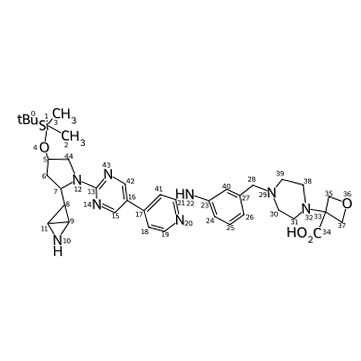 CC(C)(C)[Si](C)(C)OC1CC(C2C3NC32)N(c2ncc(-c3ccnc(Nc4cccc(CN5CCN(C6(C(=O)O)COC6)CC5)c4)c3)cn2)C1